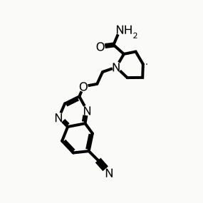 N#Cc1ccc2ncc(OCCN3CC[CH]CC3C(N)=O)nc2c1